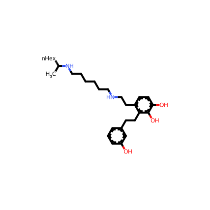 CCCCCCC(C)NCCCCCCNCCc1ccc(O)c(O)c1CCc1cccc(O)c1